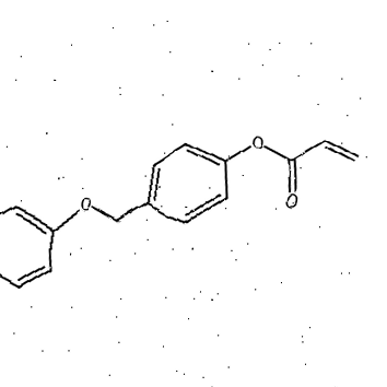 C=CC(=O)Oc1ccc(COc2ccccc2)cc1